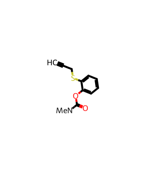 C#CCSc1ccccc1OC(=O)NC